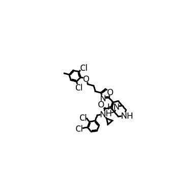 Cc1cc(Cl)c(OCCCc2coc(C3=C(C(=O)N(Cc4cccc(Cl)c4Cl)C4CC4)[C@H]4CNCC(C3)N4)n2)c(Cl)c1